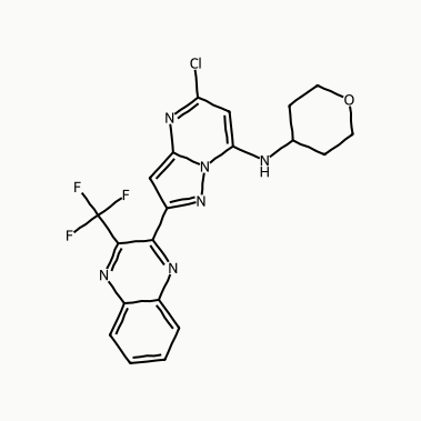 FC(F)(F)c1nc2ccccc2nc1-c1cc2nc(Cl)cc(NC3CCOCC3)n2n1